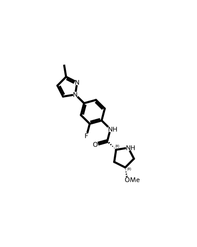 CO[C@H]1CN[C@@H](C(=O)Nc2ccc(-n3ccc(C)n3)cc2F)C1